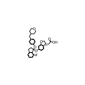 O=C(O)C[C@@H]1COc2cc(O[C@]3(Oc4ccc(CC5CCOCC5)cc4)CCc4cccc(F)c43)ccc21